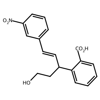 O=C(O)c1ccccc1C(/C=C/c1cccc([N+](=O)[O-])c1)CCO